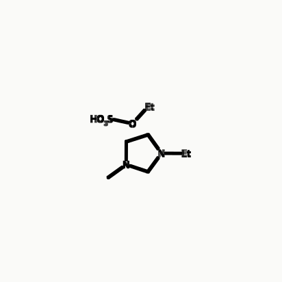 CCN1CCN(C)C1.CCOS(=O)(=O)O